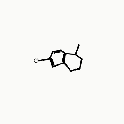 CC1CCCc2cc(Cl)ccc21